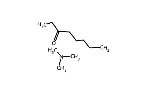 CCCCCC(=O)CC.CN(C)C